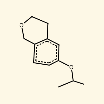 CC(C)Oc1ccc2c(c1)CCOC2